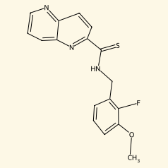 COc1cccc(CNC(=S)c2ccc3ncccc3n2)c1F